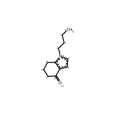 CCCCn1ccc2c1CCCC2=O